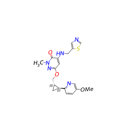 COc1ccc([C@H]2C[C@@H]2COc2cc(NCc3cncs3)c(=O)n(C)n2)nc1